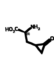 N[C@@H](CC1CC1=O)C(=O)O